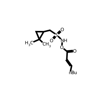 CCCCC=CC(=O)ONS(=O)(=O)CC1CC1(C)C